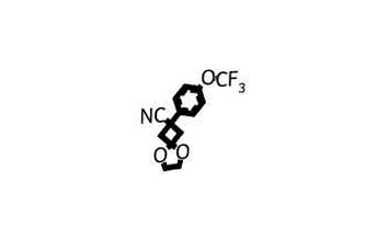 N#CC1(c2ccc(OC(F)(F)F)cc2)CC2(C1)OCCO2